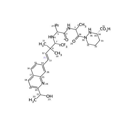 CC(NC(=O)C(NC(C(F)(F)F)C(C)(C)/C=C/c1ccc2ccc(C(C)O)nc2c1)C(C)C)C(=O)N1CCC[C@@H](C(=O)O)N1